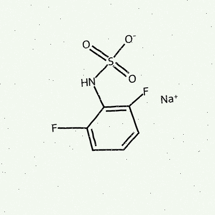 O=S(=O)([O-])Nc1c(F)cccc1F.[Na+]